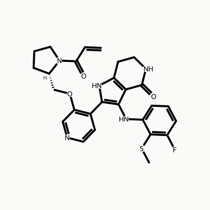 C=CC(=O)N1CCC[C@H]1COc1cnccc1-c1[nH]c2c(c1Nc1cccc(F)c1SC)C(=O)NCC2